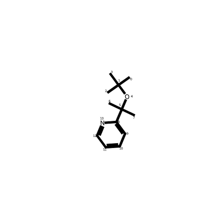 CC(C)(C)OC(C)(C)c1ccccn1